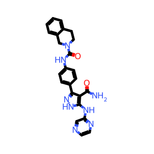 NC(=O)c1c(-c2ccc(NC(=O)N3CCc4ccccc4C3)cc2)n[nH]c1Nc1cnccn1